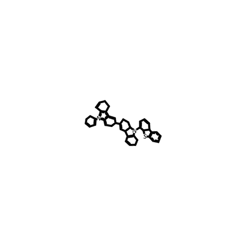 C1=CCCC(n2c3c(c4c2=CCC(C2=CC5C6=C(CCC=C6)N(C6=CC=CC7c8ccccc8SC67)C5CC2)C=4)CCC=C3)=C1